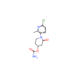 Cc1nc(Cl)ccc1N1CCC(OC(N)=O)CC1=O